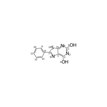 Oc1nc(O)c2nc(-c3ccccc3)sc2n1